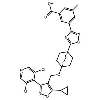 O=C(O)c1cc(F)cc(-c2noc(C34CCC(OCc5c(-c6c(Cl)cncc6Cl)noc5C5CC5)(CC3)CC4)n2)c1